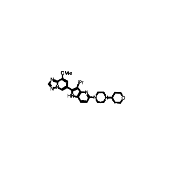 COc1cc(-c2[nH]c3ccc(N4CCN(C5CCOCC5)CC4)nc3c2C(C)C)cn2ncnc12